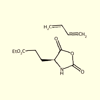 C=CC=C.CCOC(=O)CC[C@@H]1NC(=O)OC1=O